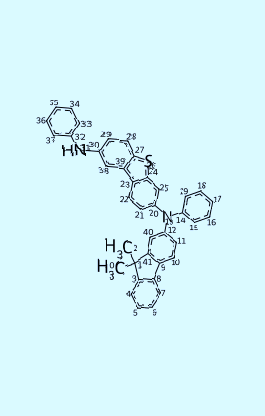 CC1(C)c2ccccc2-c2ccc(N(c3ccccc3)c3ccc4c(c3)sc3ccc(Nc5ccccc5)cc34)cc21